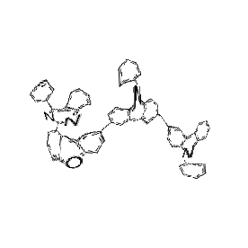 c1ccc(-c2nc(-c3cccc4oc5ccc(-c6ccc7c(c6)c6cc(-c8ccc9c(c8)c8ccccc8n9-c8ccccc8)ccc6n7-c6ccccc6)cc5c34)nc3ccccc23)cc1